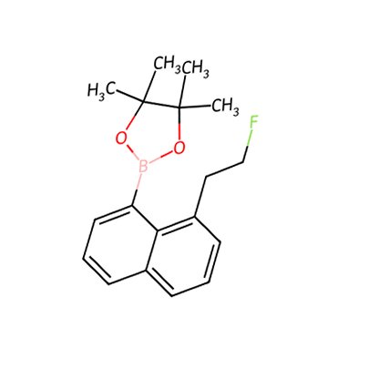 CC1(C)OB(c2cccc3cccc(CCF)c23)OC1(C)C